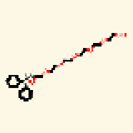 CC(C)(C)[Si](OCCOCCOCCOCCOCCOCCO)(c1ccccc1)c1ccccc1